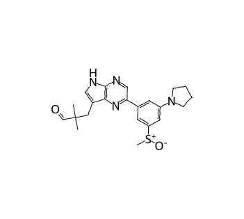 C[S+]([O-])c1cc(-c2cnc3[nH]cc(CC(C)(C)C=O)c3n2)cc(N2CCCC2)c1